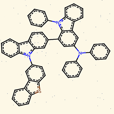 c1ccc(N(c2ccccc2)c2cc(-c3ccc4c5ccccc5n(-c5ccc6sc7ccccc7c6c5)c4c3)c3c(c2)c2ccccc2n3-c2ccccc2)cc1